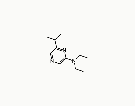 CCN(CC)c1cncc(C(C)C)n1